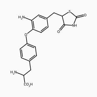 Nc1cc(CC2SC(=O)NC2=O)ccc1Oc1ccc(CC(N)C(=O)O)cc1